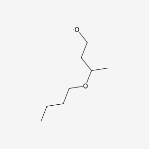 CCCCOC(C)CC[O]